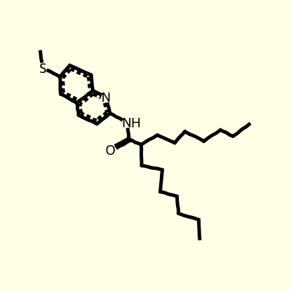 CCCCCCCC(CCCCCCC)C(=O)Nc1ccc2cc(SC)ccc2n1